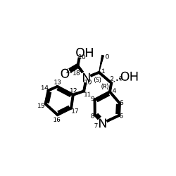 C[C@@H]([C@H](O)c1ccncc1)N(Cc1ccccc1)C(=O)O